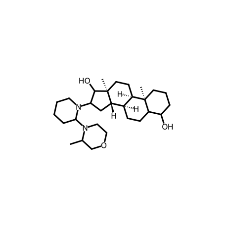 CC1COCCN1C1CCCCN1C1C[C@H]2[C@@H]3CCC4C(O)CCC[C@]4(C)[C@@H]3CC[C@]2(C)C1O